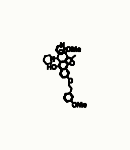 COC(=O)c1c(C)oc2c1c(C(c1ccncc1)N1CCCCC1)c(O)c1ccc(OCCc3cccc(OC)c3)cc12